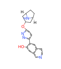 Oc1cc2cnccc2cc1-c1ccc(OC2C[C@H]3CC[C@@H](C2)N3)nn1